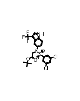 CC(C)(C)OC(=O)CN(c1ccc2[nH]cc(C(F)(F)F)c2c1)S(=O)(=O)c1cc(Cl)cc(Cl)c1